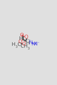 CC1(C)O[C@@H]2[C@@H](CN=[N+]=[N-])OC(=O)[C@@H]2O1